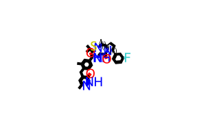 Cc1cc(Cc2ccc(C(=O)NCC(=O)N3[C@@H]([C@H](C)NSC(C)(C)C)CC[C@H]3C3=CC=CC(F)C3)cc2C)c(=O)[nH]n1